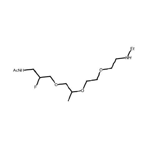 CCNCCOCCOC(C)COCC(F)CNC(C)=O